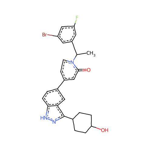 CC(c1cc(F)cc(Br)c1)n1ccc(-c2ccc3[nH]nc(C4CCC(O)CC4)c3c2)cc1=O